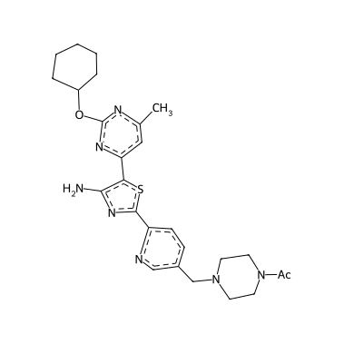 CC(=O)N1CCN(Cc2ccc(-c3nc(N)c(-c4cc(C)nc(OC5CCCCC5)n4)s3)nc2)CC1